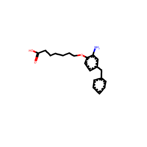 Nc1cc(Cc2ccccc2)ccc1OCCCCCCC(=O)O